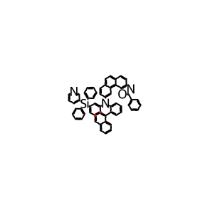 c1ccc(-c2nc3ccc4ccc5ccc(N(c6cccc([Si](c7ccccc7)(c7ccccc7)c7cccnc7)c6)c6ccccc6-c6cccc7ccccc67)cc5c4c3o2)cc1